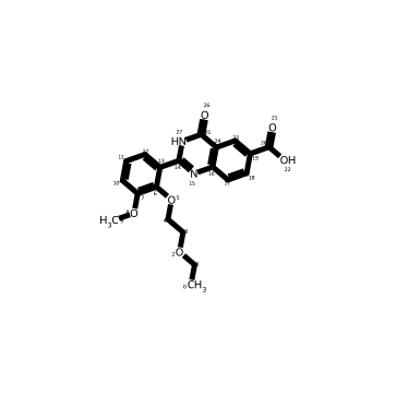 CCOCCOc1c(OC)cccc1-c1nc2ccc(C(=O)O)cc2c(=O)[nH]1